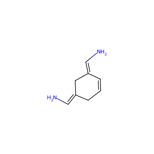 NC=C1C=CCC(=CN)C1